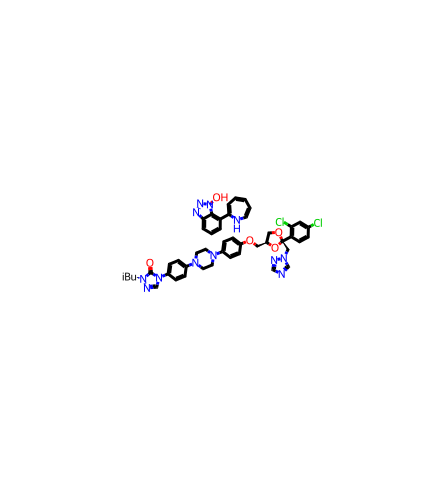 CC[C@@H](C)n1ncn(-c2ccc(N3CCN(c4ccc(OC[C@H]5CO[C@](Cn6cncn6)(c6ccc(Cl)cc6Cl)O5)cc4)CC3)cc2)c1=O.On1nnc2cccc(C3=CC=CC=CN3)c21